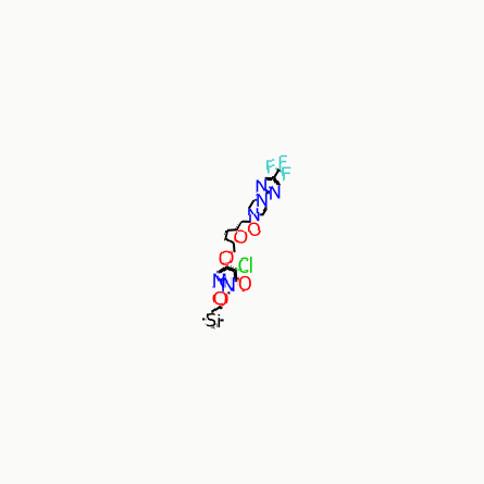 C[Si](C)(C)CCOCn1ncc(OCC2CCC(CC(=O)N3CCN(c4ncc(C(F)(F)F)cn4)CC3)O2)c(Cl)c1=O